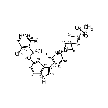 CC(Oc1ccc2[nH]nc(-c3ccc(N4CC5(C4)CN(S(C)(=O)=O)C5)nc3)c2c1)c1c(Cl)cnnc1Cl